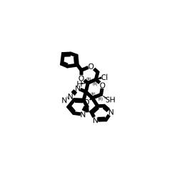 CO[C@@]1(c2cncnc2)[C@@H](S)O[C@@]2(Cl)COC(c3ccccc3)O[C@@H]2C1(N=[N+]=[N-])c1cccnc1